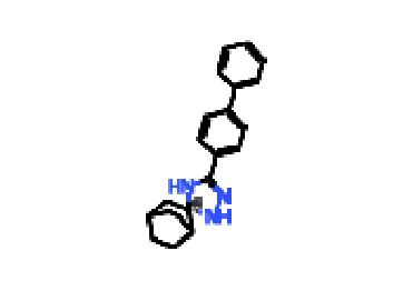 c1ccc(-c2ccc(C3=NN[C@]4(CC5CCC4CC5)N3)cc2)cc1